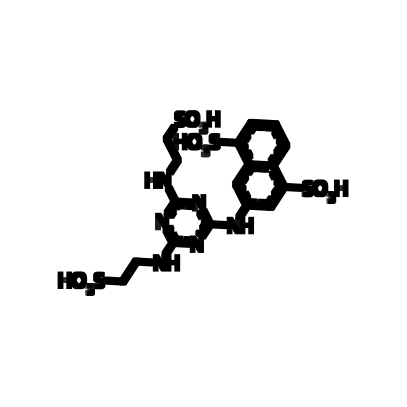 O=S(=O)(O)CCNc1nc(NCCS(=O)(=O)O)nc(Nc2cc(S(=O)(=O)O)c3cccc(S(=O)(=O)O)c3c2)n1